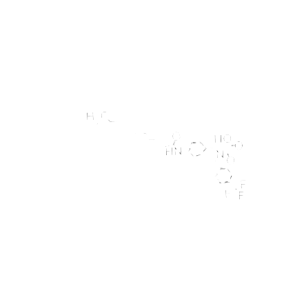 C=CCCCCCCCCC(=O)Nc1ccc(CN(Cc2ccc(C(F)(F)F)cc2)C(=O)C(=O)O)cc1